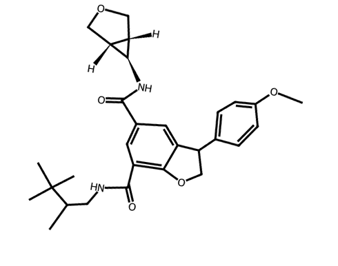 COc1ccc(C2COc3c(C(=O)NCC(C)C(C)(C)C)cc(C(=O)N[C@H]4[C@@H]5COC[C@@H]54)cc32)cc1